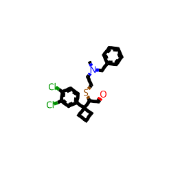 CN(CCSC(C=O)C1(c2ccc(Cl)c(Cl)c2)CCC1)Cc1ccccc1